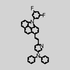 Fc1cc(F)cc(-n2c3cccc4ccc5c(/C=C/c6ccc(N(c7ccccc7)c7ccccc7)cn6)ccc2c5c43)c1